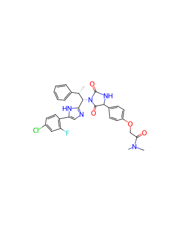 C[C@@H](c1ccccc1)[C@@H](c1ncc(-c2ccc(Cl)cc2F)[nH]1)N1C(=O)NC(c2ccc(OCC(=O)N(C)C)cc2)C1=O